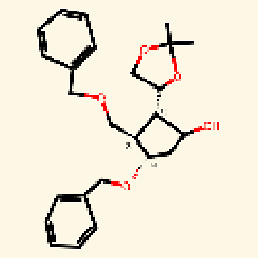 CC1(C)OCC([C@@H]2C(O)C[C@H](OCc3ccccc3)[C@H]2COCc2ccccc2)O1